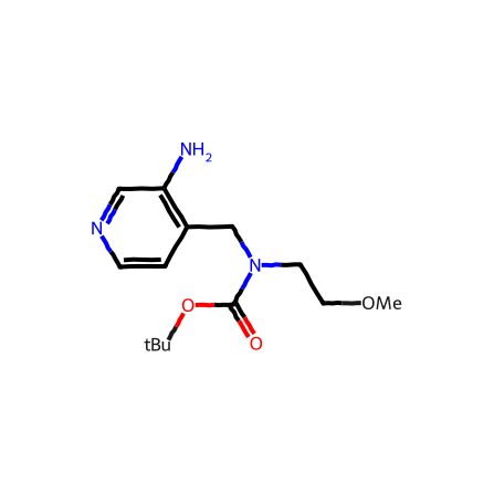 COCCN(Cc1ccncc1N)C(=O)OC(C)(C)C